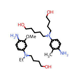 CCN(CCCCO)c1ccc(N)c(OC)c1.Cc1cc(N(CCCCO)CCCCCO)ccc1N